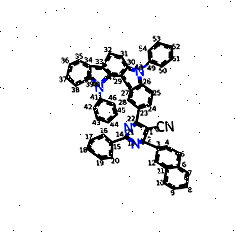 N#Cc1c(-c2ccc3ccccc3c2)nc(-c2ccccc2)nc1-c1ccc2c(c1)c1c(ccc3c4ccccc4n(-c4ccccc4)c31)n2-c1ccccc1